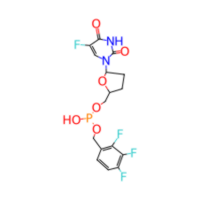 O=c1[nH]c(=O)n(C2CCC(COP(O)OCc3ccc(F)c(F)c3F)O2)cc1F